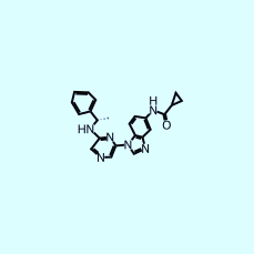 C[C@H](Nc1cncc(-n2cnc3cc(NC(=O)C4CC4)ccc32)n1)c1ccccc1